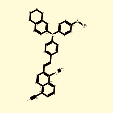 [C-]#[N+]c1c(C=Cc2ccc(N(c3ccc(OC)cc3)c3ccc4c(c3)CCCC4)cc2)ccc2c(C#N)cccc12